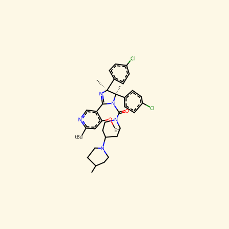 CCOc1cc(C(C)(C)C)ncc1C1=N[C@@](C)(c2ccc(Cl)cc2)[C@@](C)(c2ccc(Cl)cc2)N1C(=O)N1CCC(N2CCC(C)CC2)CC1